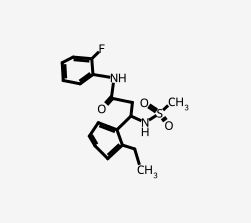 CCc1ccccc1C(CC(=O)Nc1ccccc1F)NS(C)(=O)=O